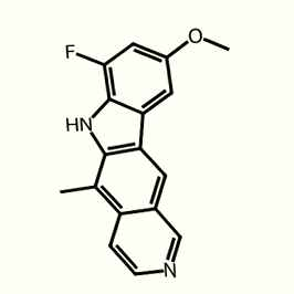 COc1cc(F)c2[nH]c3c(C)c4ccncc4cc3c2c1